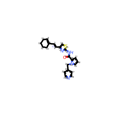 O=C(Nc1nc(/C=C/C2=CCCCC2)cs1)c1cccn1Cc1ccncc1